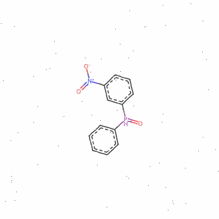 O=[N+]([O-])c1cccc([PH](=O)c2ccccc2)c1